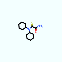 NC(=O)C(=S)N(C1CCCCC1)C1CCCCC1